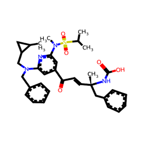 CC1CC1CN(Cc1ccccc1)c1cc(C(=O)/C=C/[C@@](C)(Cc2ccccc2)NC(=O)O)cc(N(C)S(=O)(=O)C(C)C)n1